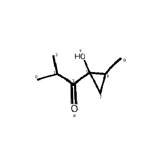 CC(C)C(=O)C1(O)CC1C